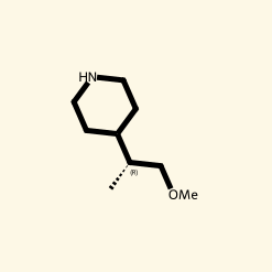 COC[C@H](C)C1CCNCC1